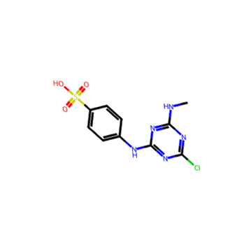 CNc1nc(Cl)nc(Nc2ccc(S(=O)(=O)O)cc2)n1